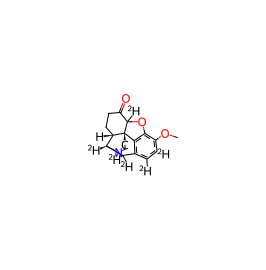 [2H]c1c([2H])c2c3c(c1OC)OC1([2H])C(=O)CC[C@@H]4[C@@]31CCN(C)[C@]4([2H])C2([2H])[2H]